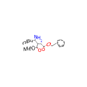 CCCCC(N)C(CC(=O)OCc1ccccc1)C(=O)OC